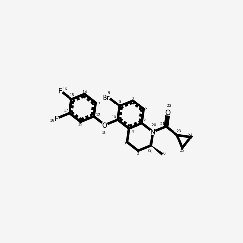 C[C@H]1CCc2c(ccc(Br)c2Oc2ccc(F)c(F)c2)N1C(=O)C1CC1